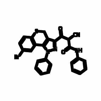 N#CC(C(=O)Nc1ccccc1)C(=O)c1nn(-c2ccccc2)c2c1CSc1ccc(Br)cc1-2